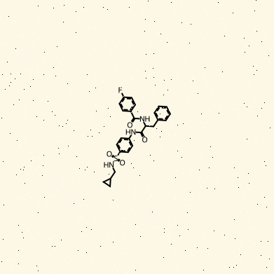 O=C(NC(Cc1ccccc1)C(=O)Nc1ccc(S(=O)(=O)NCC2CC2)cc1)c1ccc(F)cc1